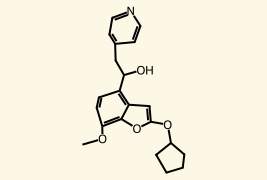 COc1ccc(C(O)Cc2ccncc2)c2cc(OC3CCCC3)oc12